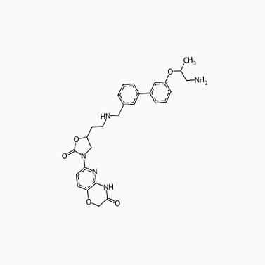 CC(CN)Oc1cccc(-c2cccc(CNCCC3CN(c4ccc5c(n4)NC(=O)CO5)C(=O)O3)c2)c1